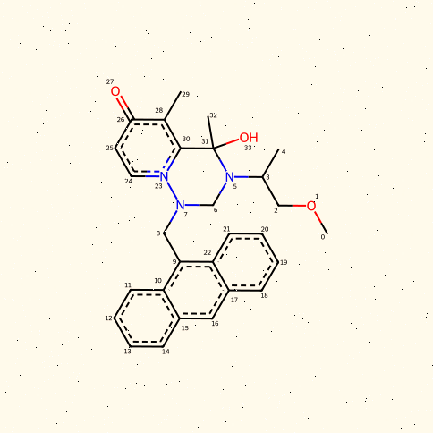 COCC(C)N1CN(Cc2c3ccccc3cc3ccccc23)n2ccc(=O)c(C)c2C1(C)O